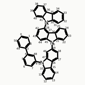 c1ccc(-c2cccc(-n3c4ccccc4c4ccc(-n5c6ccccc6c6c(-n7c8ccccc8c8ccccc87)cccc65)cc43)c2)cc1